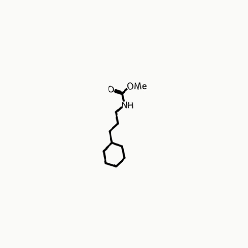 COC(=O)NCCCC1CCCCC1